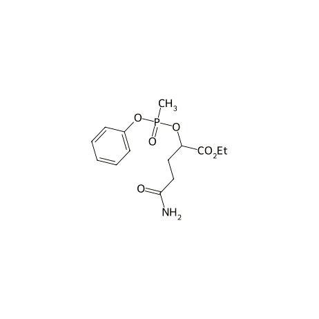 CCOC(=O)C(CCC(N)=O)OP(C)(=O)Oc1ccccc1